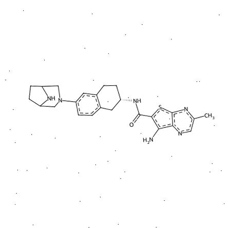 Cc1cnc2c(N)c(C(=O)N[C@H]3CCc4cc(N5CC6CCC(C5)N6)ccc4C3)sc2n1